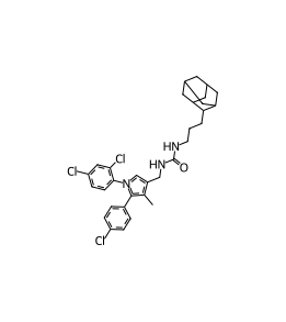 Cc1c(CNC(=O)NCCCC2C3CC4CC(C3)CC2C4)cn(-c2ccc(Cl)cc2Cl)c1-c1ccc(Cl)cc1